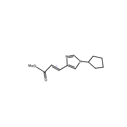 COC(=O)/C=C/c1cn(C2CCCC2)cn1